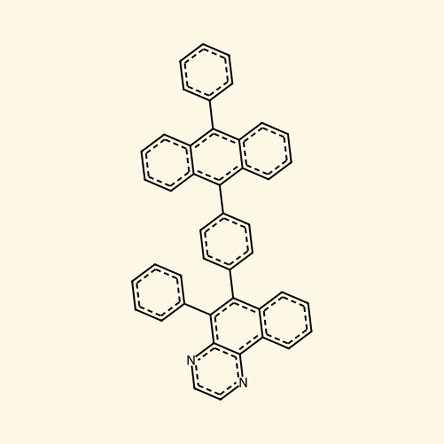 c1ccc(-c2c3ccccc3c(-c3ccc(-c4c(-c5ccccc5)c5nccnc5c5ccccc45)cc3)c3ccccc23)cc1